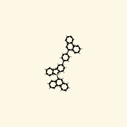 c1ccc2c(c1)cc(-c1ccc(-c3ccc4c(c3)c3ccccc3n4-c3cc4ccccc4c4ccccc34)cc1)c1ccccc12